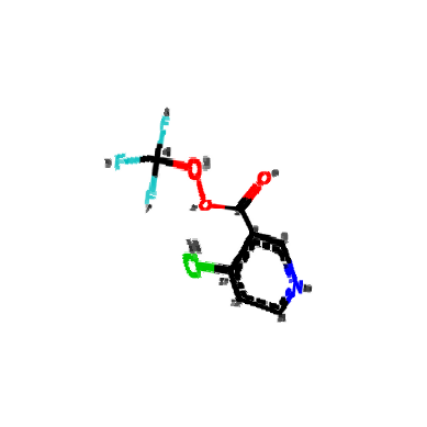 O=C(OOC(F)(F)F)c1cnccc1Cl